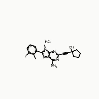 Cc1c(F)cccc1-c1nc2c(N)nc(C#CC3(O)CCCC3)nc2n1C.Cl